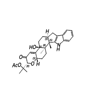 CC(=O)OC(C)(C)[C@H]1O[C@H]2CC[C@@]3(C)[C@@](O)(CC[C@H]4Cc5c([nH]c6ccccc56)[C@@]43C)C2=CC1=O